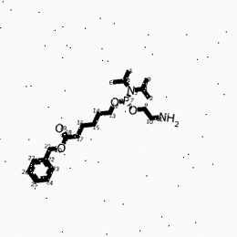 CC(C)N(C(C)C)P(OCCN)OCCCCCC(=O)OCc1ccccc1